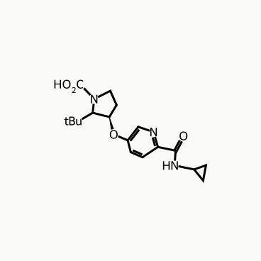 CC(C)(C)C1[C@H](Oc2ccc(C(=O)NC3CC3)nc2)CCN1C(=O)O